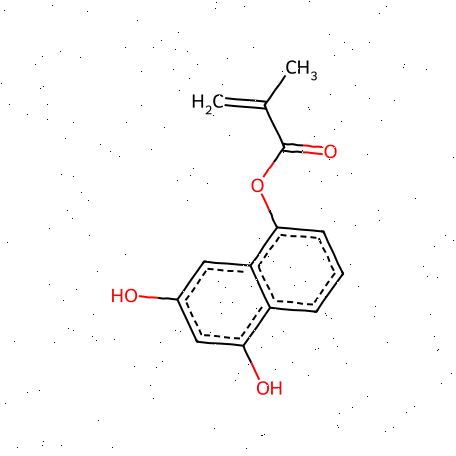 C=C(C)C(=O)Oc1cccc2c(O)cc(O)cc12